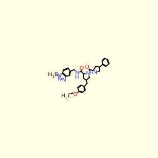 CCOc1ccc(CC2CC(C(=O)NCc3ccc4c(c3)nnn4C)N(C(=O)C3CC(c4ccccc4)CN3)C2)cc1